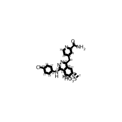 CS(=O)(=O)O.CS(=O)(=O)O.NC(=O)c1cc(Cc2nnc(Nc3ccc(Cl)cc3)c3ccccc23)ccn1